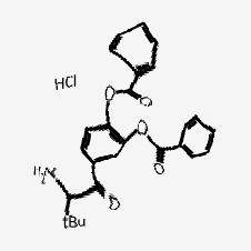 CC(C)(C)C(N)C(=O)c1ccc(OC(=O)c2ccccc2)c(OC(=O)c2ccccc2)c1.Cl